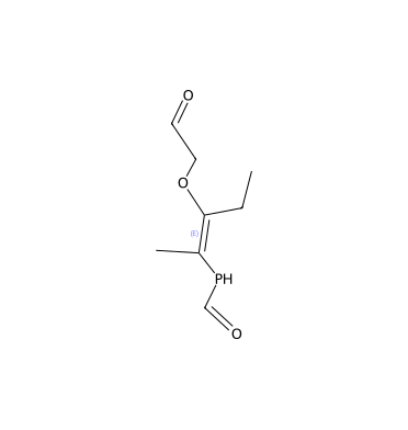 CC/C(OCC=O)=C(/C)PC=O